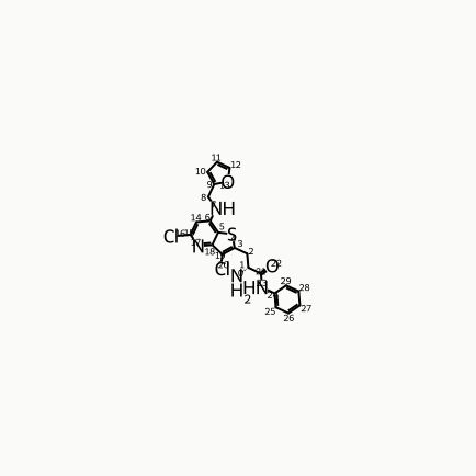 N[C@H](Cc1sc2c(NCc3ccco3)cc(Cl)nc2c1Cl)C(=O)Nc1ccccc1